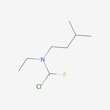 CCN(CCC(C)C)[C](F)Cl